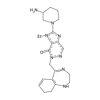 CCn1c(N2CCCC(N)C2)nc2cnn(CC3=NCCNC4=C3C=CCC4)c(=O)c21